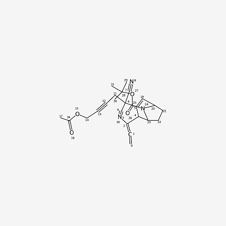 C=C=C(C)C1C(C(C#N)(C#N)CC#CCOC(C)=O)=CC2CCC1N2C(=O)OC(C)(C)C